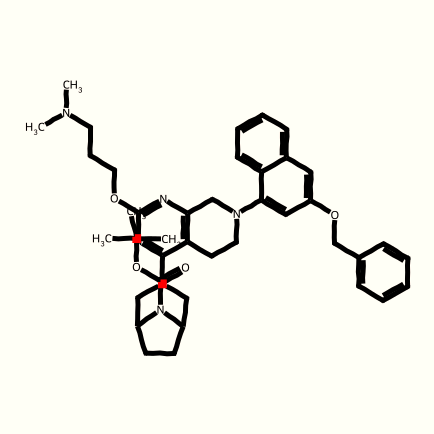 CN(C)CCCOc1nc2c(c(N3CC4CCC(C3)N4C(=O)OC(C)(C)C)n1)CCN(c1cc(OCc3ccccc3)cc3ccccc13)C2